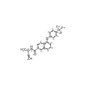 C#C[C@@H](C)NC(=O)c1ccc2c(Oc3ccc(C(F)(F)F)cc3)cccc2c1